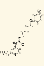 COc1cc(NC(=O)CCCCCCOc2cccc(Br)c2)ccn1